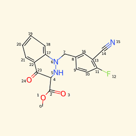 COC(=O)C1NN(Cc2ccc(F)c(C#N)c2)c2ccccc2C1=O